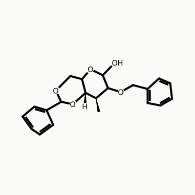 C[C@@H]1C(OCc2ccccc2)C(O)OC2COC(c3ccccc3)O[C@H]21